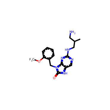 CC(CN)CNc1ncc2[nH]c(=O)n(Cc3ccccc3OC(F)(F)F)c2n1